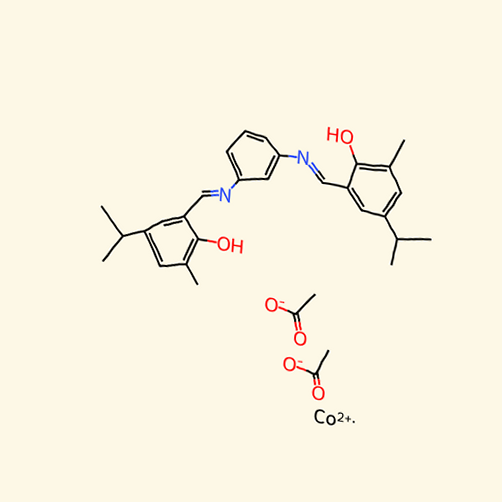 CC(=O)[O-].CC(=O)[O-].Cc1cc(C(C)C)cc(C=Nc2cccc(N=Cc3cc(C(C)C)cc(C)c3O)c2)c1O.[Co+2]